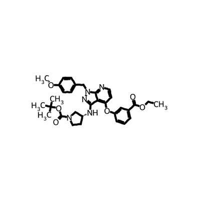 CCOC(=O)c1cccc(Oc2ccnc3c2c(N[C@@H]2CCN(C(=O)OC(C)(C)C)C2)nn3Cc2ccc(OC)cc2)c1